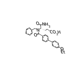 CCOc1ccc(-c2ccc(C(=O)N(Cc3ccccc3)[C@@H](CCC(=O)O)C(N)=O)cc2)cc1